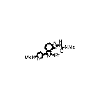 CNC(=O)Nc1nc2c(s1)-c1c(c(-c3ccc(NC)nc3)nn1C(C)C)CCC2